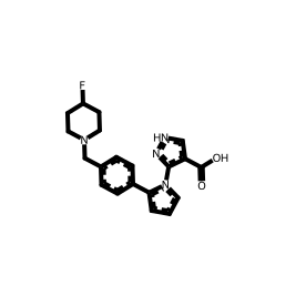 O=C(O)c1c[nH]nc1-n1cccc1-c1ccc(CN2CCC(F)CC2)cc1